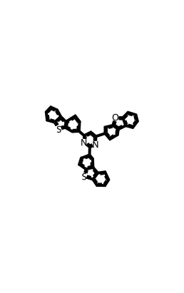 c1ccc2c(c1)oc1cc(-c3cc(-c4ccc5c(c4)sc4ccccc45)nc(-c4ccc5sc6ccccc6c5c4)n3)ccc12